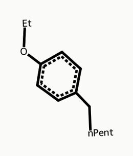 CCCCCCc1ccc(OCC)cc1